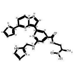 CCN(CC)C(C)CNC(=O)c1cc(NCc2ncc[nH]2)nc(-c2cnn3ccc(-c4cccs4)nc23)c1